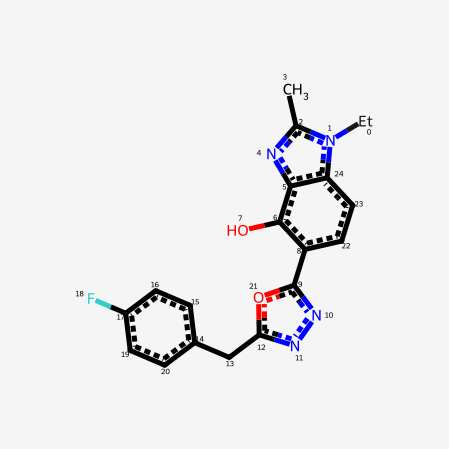 CCn1c(C)nc2c(O)c(-c3nnc(Cc4ccc(F)cc4)o3)ccc21